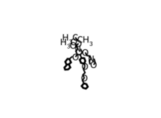 CC(C)(C)OC(=O)N1CC(OCCN2CCOCC2)C(c2ccc(OCCCOCc3ccccc3)cc2)C(OCc2ccc3ccccc3c2)C1